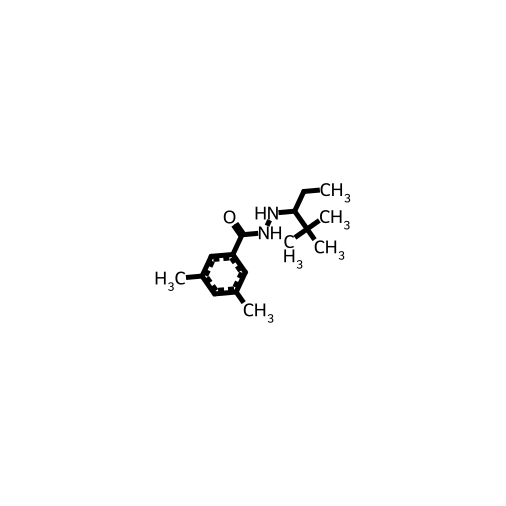 CCC(NNC(=O)c1cc(C)cc(C)c1)C(C)(C)C